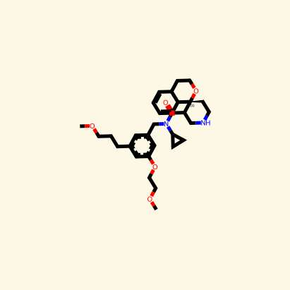 COCCCc1cc(CN(C(=O)C2CNCC[C@@]23OCCC2C=CC=CC23)C2CC2)cc(OCCOC)c1